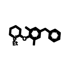 CCN1CCCCC1Oc1c(C)cc(Cc2ccccc2)cc1C